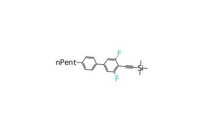 CCCCCc1ccc(-c2cc(F)c(C#C[Si](C)(C)C)c(F)c2)cc1